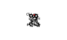 COc1cc(Cl)cc(Cl)c1C1=NC(NC(=O)c2cc(F)cnc2OCc2cnccn2)C(=O)Nc2ccccc21